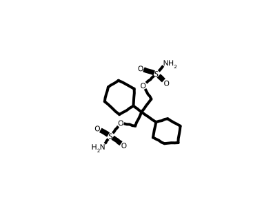 NS(=O)(=O)OCC(COS(N)(=O)=O)(C1CCCCC1)C1CCCCC1